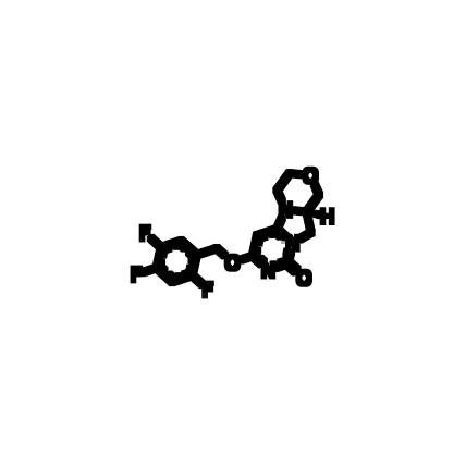 O=c1nc(OCc2cc(F)c(F)cc2F)cc2n1C[C@H]1COCCN21